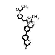 CCC(=O)N1CCC(Cc2nn(C)c(=O)n2-c2ccc(-c3ccc4cc(F)cnc4c3)cc2F)C1